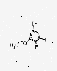 CCOc1cc(Br)cc(F)c1F